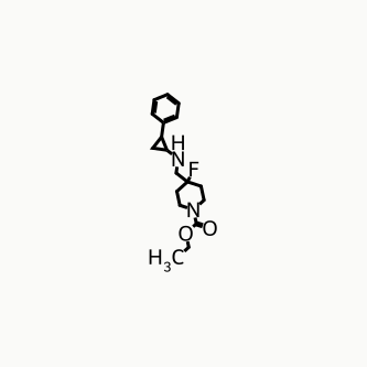 CCOC(=O)N1CCC(F)(CNC2CC2c2ccccc2)CC1